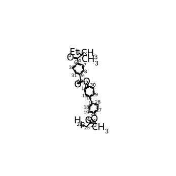 CCC(C)(C)C(=O)c1ccc(C(=O)Oc2ccc(-c3ccc(OC(C)(C)CI)cc3)cc2)cc1